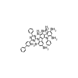 Bc1cc(B)c2c(c1)c1c(c(B)c(B)c3c4c(B)c(B)cc(B)c4n(-c4ccccc4)c31)n2-c1nc(-c2ccccc2)nc(-c2ccc(-c3ccccc3)cc2)n1